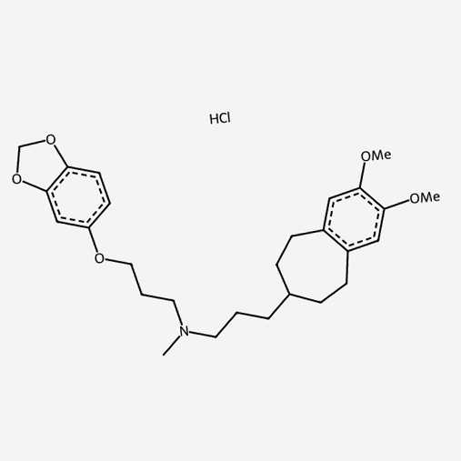 COc1cc2c(cc1OC)CCC(CCCN(C)CCCOc1ccc3c(c1)OCO3)CC2.Cl